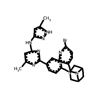 Cc1cc(Nc2cc(C)[nH]n2)nc(-c2ccc(N3CC4CC(C3)N4Cc3ccc(Br)nc3)nc2)n1